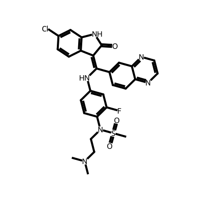 CN(C)CCN(c1ccc(NC(=C2C(=O)Nc3cc(Cl)ccc32)c2ccc3nccnc3c2)cc1F)S(C)(=O)=O